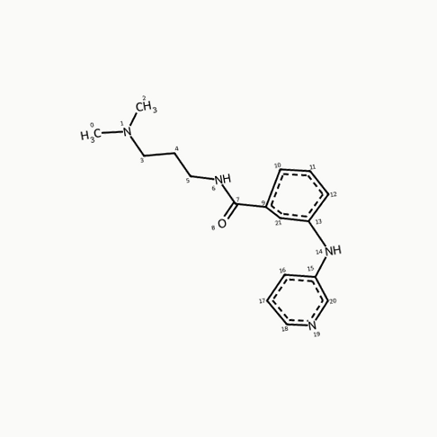 CN(C)CCCNC(=O)c1cccc(Nc2cccnc2)c1